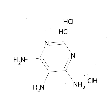 Cl.Cl.Cl.Nc1ncnc(N)c1N